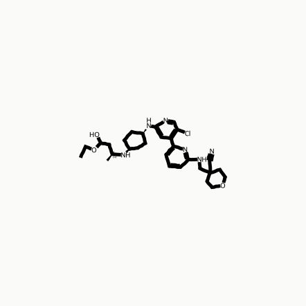 CCOC(O)C[C@H](C)N[C@H]1CC[C@H](Nc2cc(-c3cccc(NCC4(C#N)CCOCC4)n3)c(Cl)cn2)CC1